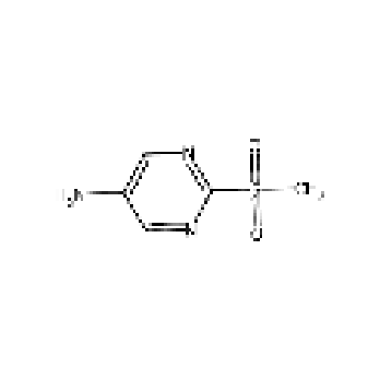 CS(=O)(=O)c1ncc(N)cn1